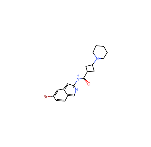 O=C(Nc1cc2cc(Br)ccc2cn1)C1CC(N2CCCCC2)C1